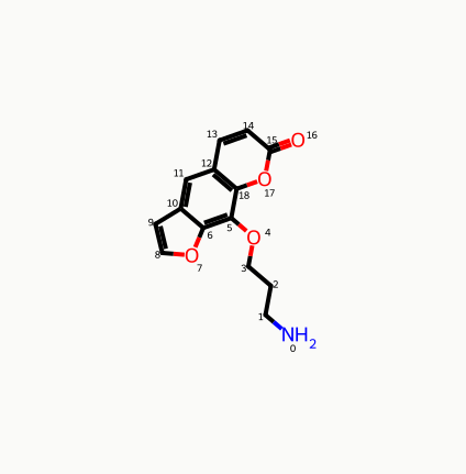 NCCCOc1c2occc2cc2ccc(=O)oc12